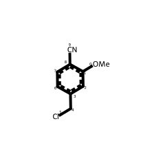 COc1cc(CCl)ccc1C#N